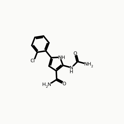 NC(=O)Nc1[nH]c(-c2ccccc2Cl)cc1C(N)=O